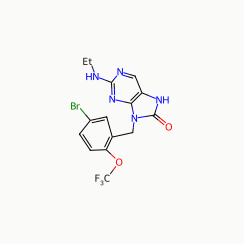 CCNc1ncc2[nH]c(=O)n(Cc3cc(Br)ccc3OC(F)(F)F)c2n1